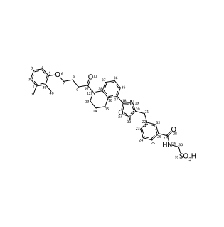 Cc1cccc(OCCCC(=O)N2CCCc3c(-c4nc(Cc5cccc(C(=O)NCS(=O)(=O)O)c5)no4)cccc32)c1C